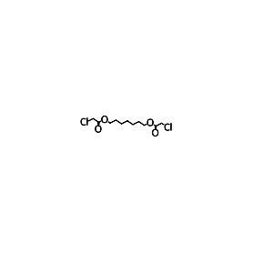 O=C(CCl)OCCCCCCCOC(=O)CCl